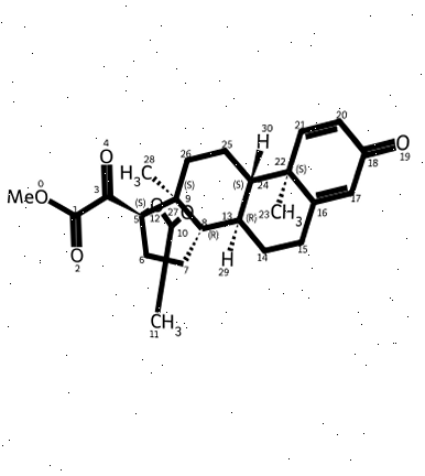 COC(=O)C(=O)[C@@]12CC[C@@]3(OC(C)O1)[C@@H]1CCC4=CC(=O)C=C[C@]4(C)[C@H]1CC[C@]23C